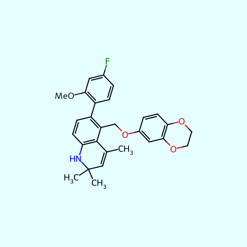 COc1cc(F)ccc1-c1ccc2c(c1COc1ccc3c(c1)OCCO3)C(C)=CC(C)(C)N2